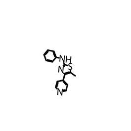 Cc1sc(Nc2ccccc2)nc1-c1ccncc1